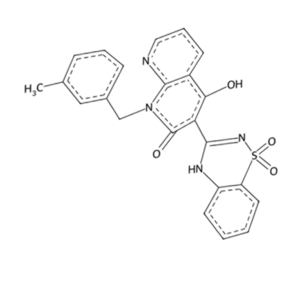 Cc1cccc(Cn2c(=O)c(C3=NS(=O)(=O)c4ccccc4N3)c(O)c3cccnc32)c1